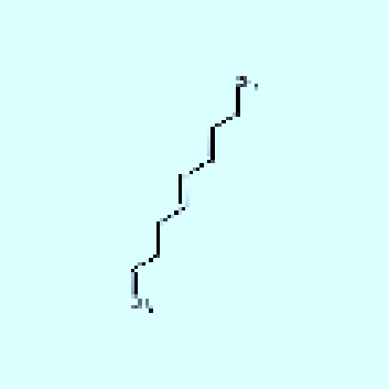 C=CCCC=CC=CCC